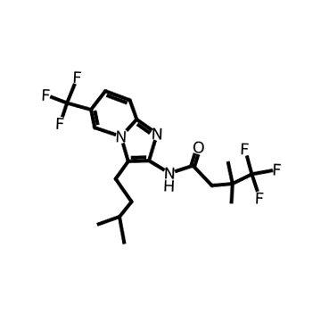 CC(C)CCc1c(NC(=O)CC(C)(C)C(F)(F)F)nc2ccc(C(F)(F)F)cn12